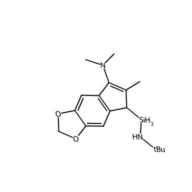 CC1=C(N(C)C)c2cc3c(cc2C1[SiH2]NC(C)(C)C)OCO3